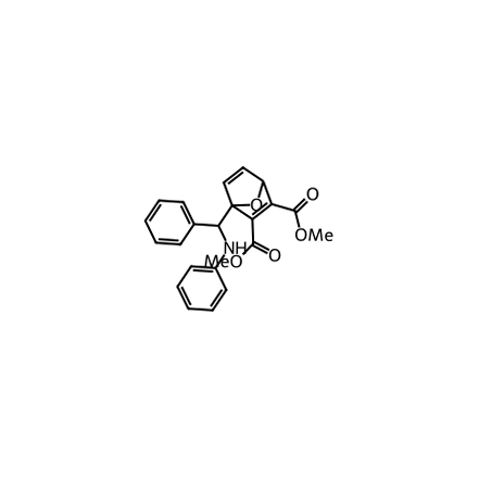 COC(=O)C1=C(C(=O)OC)C2(C(Nc3ccccc3)c3ccccc3)C=CC1O2